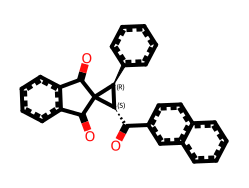 O=C(c1ccc2ccccc2c1)[C@H]1[C@H](c2ccccc2)C12C(=O)c1ccccc1C2=O